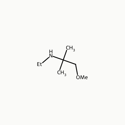 CCNC(C)(C)COC